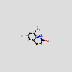 O=c1ccc2cc(F)cc(C(F)(F)F)c2[nH]1